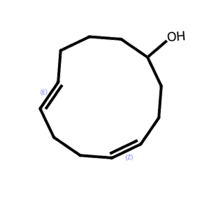 OC1CC/C=C\CC/C=C/CCC1